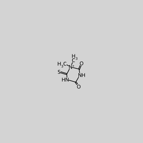 C[N+]1(C)C(=O)NC(=O)NC1=S